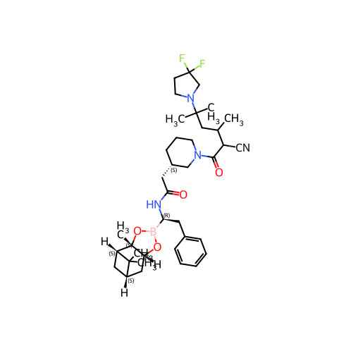 CC(CC(C)(C)N1CCC(F)(F)C1)C(C#N)C(=O)N1CCC[C@@H](CC(=O)N[C@@H](Cc2ccccc2)B2O[C@@H]3C[C@@H]4C[C@@H](C4(C)C)[C@]3(C)O2)C1